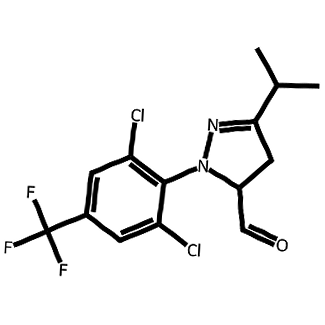 CC(C)C1=NN(c2c(Cl)cc(C(F)(F)F)cc2Cl)C(C=O)C1